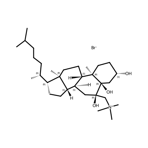 CC(C)CCC[C@@H](C)[C@H]1CC[C@H]2[C@@H]3C[C@@](O)(C[N+](C)(C)C)[C@@]4(O)C[C@@H](O)CC[C@]4(C)[C@H]3CC[C@]12C.[Br-]